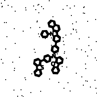 c1ccc(-n2c3cc(-c4ccc(N(c5ccc(-c6cccc7c6sc6ccccc67)cc5)c5cccc6c5oc5ccccc56)cc4)ccc3c3ccc4ccccc4c32)cc1